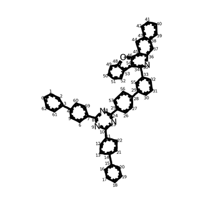 c1ccc(-c2ccc(-c3nc(-c4ccc(-c5ccccc5)cc4)nc(-c4ccc(-c5cccc(-c6nc7cc8ccccc8cc7c7oc8ccccc8c67)c5)cc4)n3)cc2)cc1